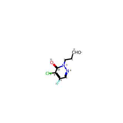 O=[C]CCn1ncc(F)c(Cl)c1=O